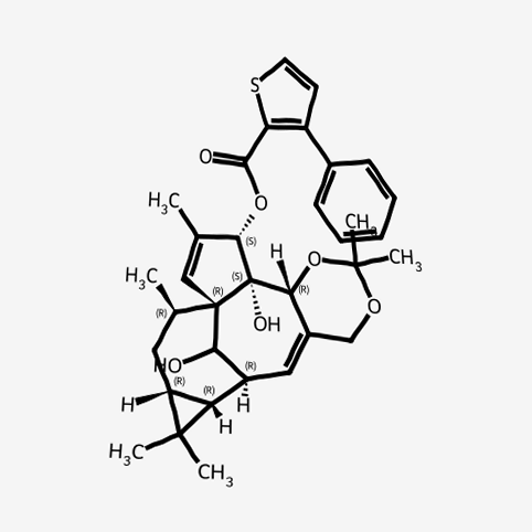 CC1=C[C@]23C(O)[C@@H](C=C4COC(C)(C)O[C@H]4[C@]2(O)[C@H]1OC(=O)c1sccc1-c1ccccc1)[C@H]1[C@@H](C[C@H]3C)C1(C)C